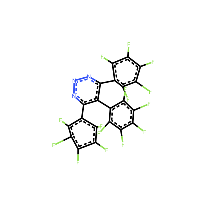 Fc1c(F)c(F)c(-c2nnnc(-c3c(F)c(F)c(F)c(F)c3F)c2-c2c(F)c(F)c(F)c(F)c2F)c(F)c1F